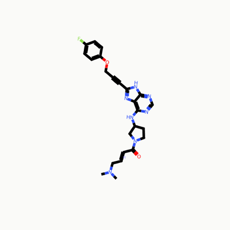 CN(C)C/C=C/C(=O)N1CCC(Nc2ncnc3[nH]c(C#CCOc4ccc(F)cc4)nc23)C1